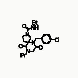 CCNC(=O)N1CCC2(C1)C(=O)N(C(C)C)CC(=O)N2Cc1ccc(Cl)cc1